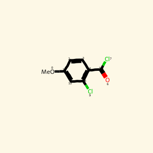 COc1ccc(C(=O)Cl)c(Cl)c1